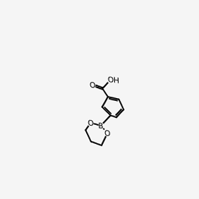 O=C(O)c1cccc(B2OCCCO2)c1